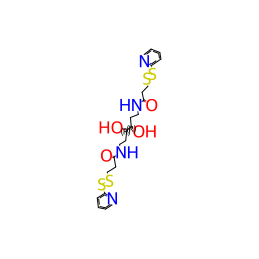 O=C(CCSSc1ccccn1)NCC[C@@H](O)[C@H](O)CCNC(=O)CCSSc1ccccn1